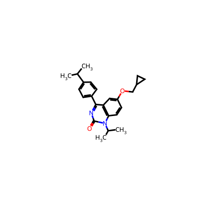 CC(C)c1ccc(-c2nc(=O)n(C(C)C)c3ccc(OCC4CC4)cc23)cc1